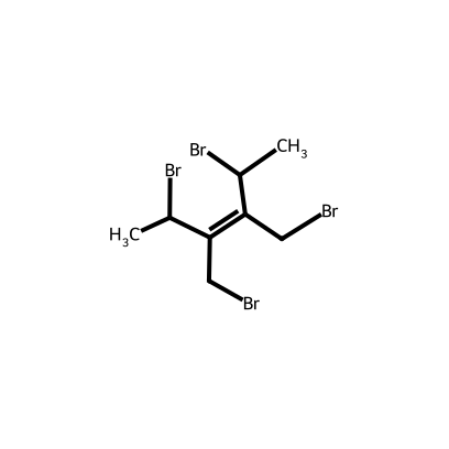 CC(Br)C(CBr)=C(CBr)C(C)Br